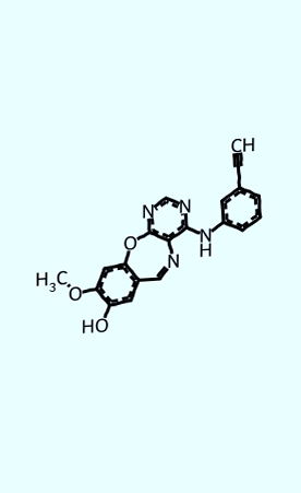 C#Cc1cccc(Nc2ncnc3c2N=Cc2cc(O)c(OC)cc2O3)c1